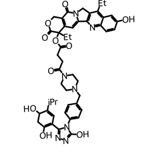 CCc1c2c(nc3ccc(O)cc13)-c1cc3c(c(=O)n1C2)COC(=O)C3(CC)OC(=O)CCC(=O)N1CCN(Cc2ccc(-n3c(O)nnc3C3=C(O)CC(O)C(C(C)C)=C3)cc2)CC1